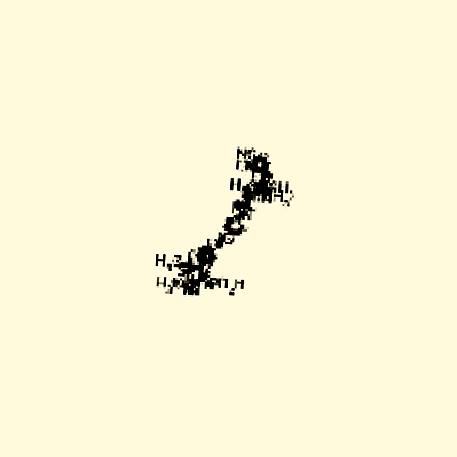 Cc1sc2c(c1C)C(c1ccc(OCCOC3CCN(c4ncc(C(=O)NC5C(C)(C)C(Oc6ccc(C#N)c(Cl)c6)C5(C)C)cn4)CC3)cc1)=N[C@@H](CC(=O)O)c1nnc(C)n1-2